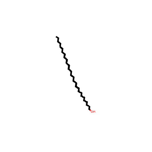 CCCCCCCCCCCCCCCCCCCCCCCCCCCC[CH]O